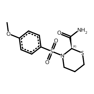 COc1ccc(S(=O)(=O)N2CCCS[C@@H]2C(N)=O)cc1